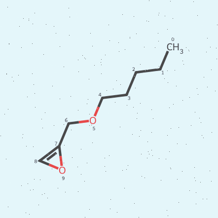 CCCCCOCC1=CO1